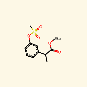 CC(C(=O)OC(C)(C)C)c1cccc(OS(C)(=O)=O)c1